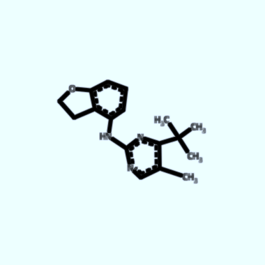 Cc1cnc(Nc2cccc3c2CCO3)nc1C(C)(C)C